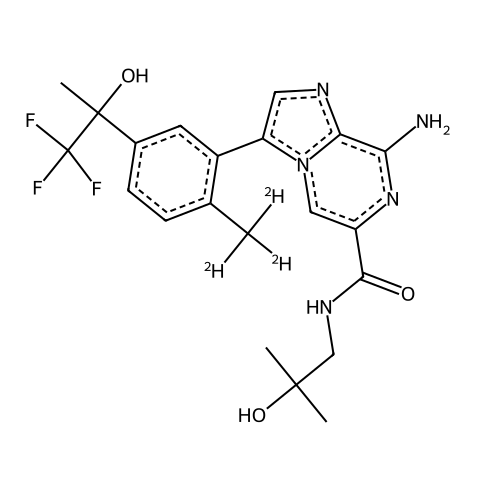 [2H]C([2H])([2H])c1ccc(C(C)(O)C(F)(F)F)cc1-c1cnc2c(N)nc(C(=O)NCC(C)(C)O)cn12